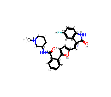 CN1CCCC(NC(=O)c2ccccc2-c2ccc(/C=C3/C(=O)Nc4ccc(F)cc43)o2)C1